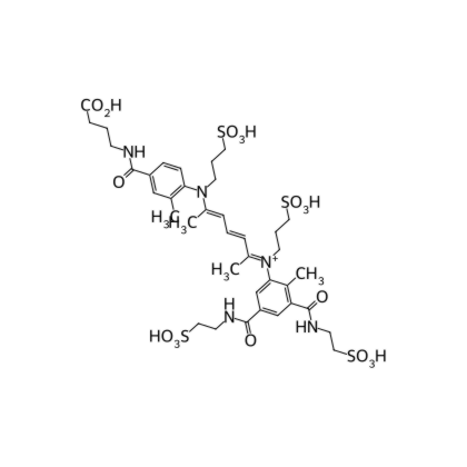 C\C(=C/C=C/C(C)=[N+](\CCCS(=O)(=O)O)c1cc(C(=O)NCCS(=O)(=O)O)cc(C(=O)NCCS(=O)(=O)O)c1C)N(CCCS(=O)(=O)O)c1ccc(C(=O)NCCCC(=O)O)cc1C